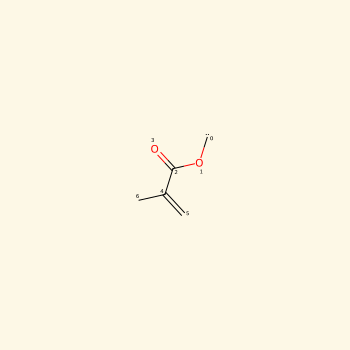 [CH]OC(=O)C(=C)C